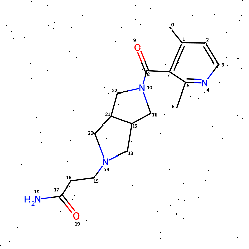 Cc1ccnc(C)c1C(=O)N1CC2CN(CCC(N)=O)CC2C1